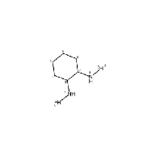 [2H]NC1CCCCC1N[2H]